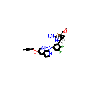 CC#CCOc1cnc2c(Nc3cc(F)c(F)c([C@@]4(C)N=C(N)S[C@@]5(COC)C[C@H]54)c3)nccc2c1